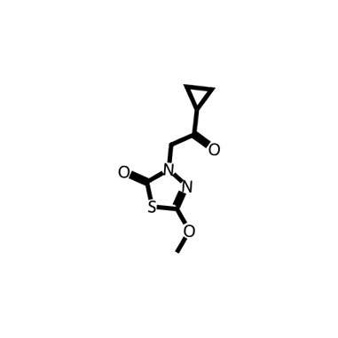 COc1nn(CC(=O)C2CC2)c(=O)s1